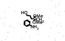 CO[Si](C)(CCCO)OC.Nc1ccccc1